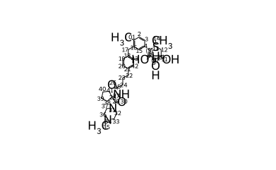 Cc1ccc([C@H]2[C@H](O)[C@H](O)[C@H](O)C[SH]2C)cc1Cc1ccc(CCCC(=O)NC2(C(=O)N3CCN(C)CC3)CCCC2)cc1